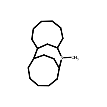 CN1C2CCCCCC(CC2)C2CCCCCCC1C2